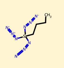 CCCC[Si](N=[N+]=[N-])(N=[N+]=[N-])N=[N+]=[N-]